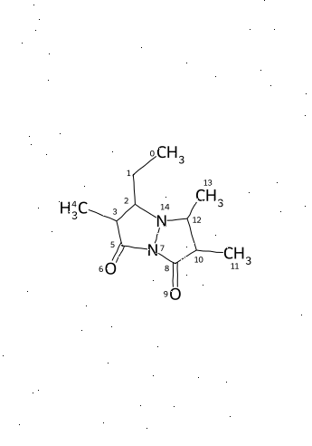 CCC1C(C)C(=O)N2C(=O)C(C)C(C)N12